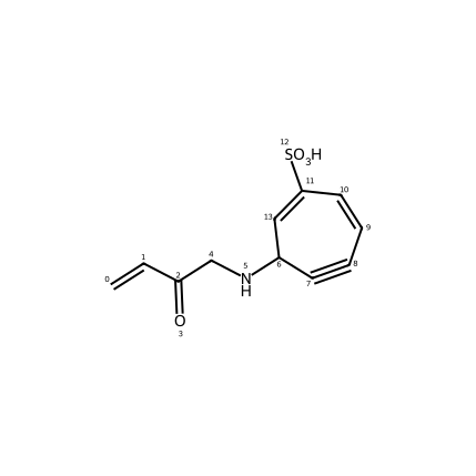 C=CC(=O)CNC1C#CC=CC(S(=O)(=O)O)=C1